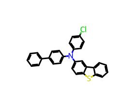 Clc1ccc(N(c2ccc(-c3ccccc3)cc2)c2ccc3sc4ccccc4c3c2)cc1